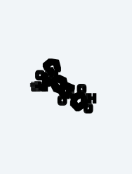 CC(C)(C)OC(=O)N1CCCCN1c1ccc2c(c1)CN(C1CCC(=O)NC1=O)C2=O